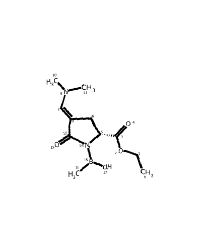 CCOC(=O)[C@H]1C/C(=C\N(C)C)C(=O)N1B(C)O